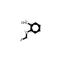 O=Cc1ccccc1O[CH]F